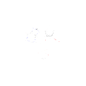 O=P([O-])(O)O.OC[C@H]1O[C@@H](n2cnc3c(O)ncnc32)[C@H](O)[C@@H]1O.[Na+]